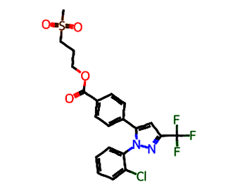 CS(=O)(=O)CCCOC(=O)c1ccc(-c2cc(C(F)(F)F)nn2-c2ccccc2Cl)cc1